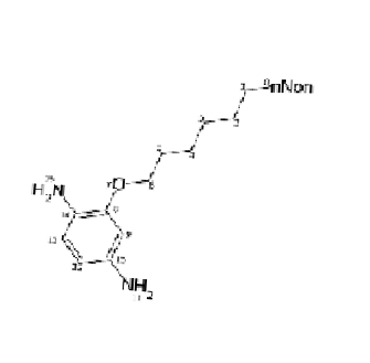 CCCCCCCCCCCCCCCOc1cc(N)ccc1N